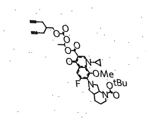 C#CCC(CC#C)COC(=O)OC(C)OC(=O)c1cn(C2CC2)c2c(OC)c(N3CC4CCCN(C(=O)OC(C)(C)C)C4C3)c(F)cc2c1=O